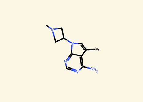 CC(C)c1cn(C2CN(C)C2)c2ncnc(N)c12